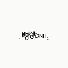 CCC[C@H](N)C(=O)NC[C@H](C)NC(=O)c1ccc(N)cc1CC